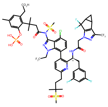 Cc1cc(CC(=O)O)c(C(C)(C)CC(=O)N(c2nn(CC(F)(F)F)c3c(-c4ccc(CCC(C)(C)S(C)(=O)=O)nc4[C@H](Cc4cc(F)cc(F)c4)NC(=O)Cn4nc(C(F)(F)F)c5c4C(F)(F)C4CC54)ccc(Cl)c23)S(C)(=O)=O)c(OP(=O)(O)O)c1